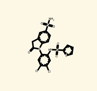 NS(=O)(=O)c1ccc2c(c1)CC(=O)N2c1cc(Cl)c(Cl)cc1NS(=O)(=O)c1cccs1